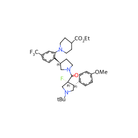 CCOC(=O)C1CCN(c2cc(C(F)(F)F)ccc2[C@H]2CCN(C(=O)[C@]3(F)CN(C(C)(C)C)C[C@H]3c3ccc(OC)cc3)C2)CC1